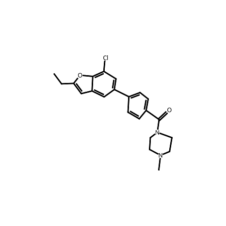 CCc1cc2cc(-c3ccc(C(=O)N4CCN(C)CC4)cc3)cc(Cl)c2o1